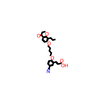 CCCc1c(OCCCCCOc2ccc(C#N)cc2C=CC(=O)O)ccc2c1OCCC2=O